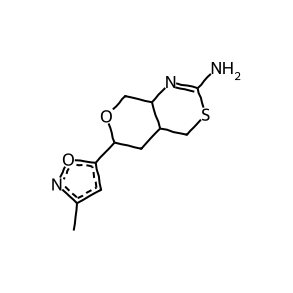 Cc1cc(C2CC3CSC(N)=NC3CO2)on1